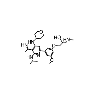 CNCC(O)COc1cc(OC)cc(-c2cc(NC3CCOCC3)c(C(C)=N)c(NC(C)C)n2)c1